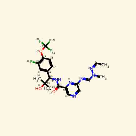 C/C=N\N(C)/C=N/c1cncc(C(=O)NC(c2ccc(OC(F)(F)F)c(F)c2)C(C)(C)O)n1